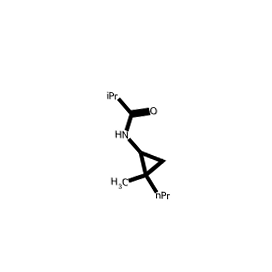 CCCC1(C)CC1NC(=O)C(C)C